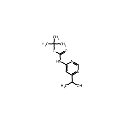 CC(O)c1cc(NC(=O)OC(C)(C)C)ncn1